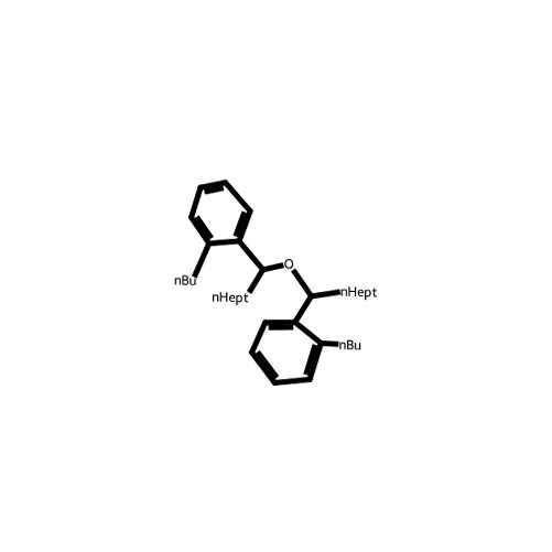 CCCCCCCC(OC(CCCCCCC)c1ccccc1CCCC)c1ccccc1CCCC